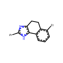 CCc1cccc2c1CCc1nc(C(C)C)[nH]c1-2